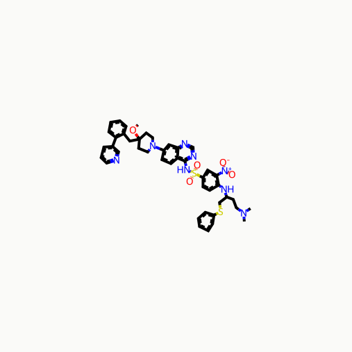 COC1(Cc2ccccc2-c2cccnc2)CCN(c2ccc3c(NS(=O)(=O)c4ccc(NC(CCN(C)C)CSc5ccccc5)c([N+](=O)[O-])c4)ncnc3c2)CC1